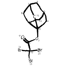 O=C(OC12CC3CC(CC1C3)C2)C(Br)(Br)Br